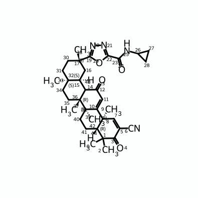 CC1(C)C(=O)C(C#N)=C[C@]2(C)C3=CC(=O)C4[C@@H]5C[C@@](C)(c6nnc(C(=O)NC7CC7)o6)CC[C@]5(C)CC[C@@]4(C)[C@]3(C)CC[C@@H]12